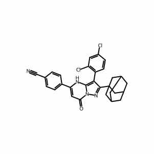 N#Cc1ccc(-c2cc(=O)n3nc(C45CC6CC(CC(C6)C4)C5)c(-c4ccc(Cl)cc4Cl)c3[nH]2)cc1